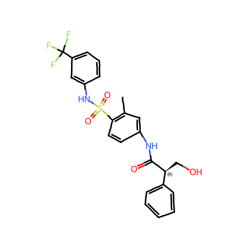 Cc1cc(NC(=O)[C@@H](CO)c2ccccc2)ccc1S(=O)(=O)Nc1cccc(C(F)(F)F)c1